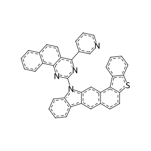 c1cncc(-c2nc(-n3c4ccccc4c4cc5ccc6sc7ccccc7c6c5cc43)nc3c2ccc2ccccc23)c1